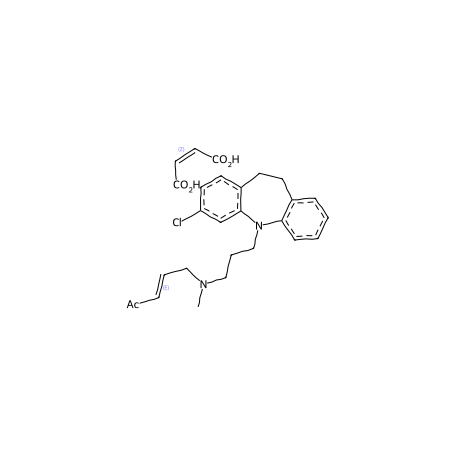 CC(=O)/C=C/CN(C)CCCN1c2ccccc2CCc2ccc(Cl)cc21.O=C(O)/C=C\C(=O)O